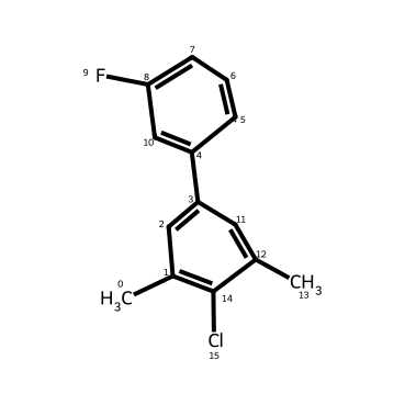 Cc1cc(-c2[c]ccc(F)c2)cc(C)c1Cl